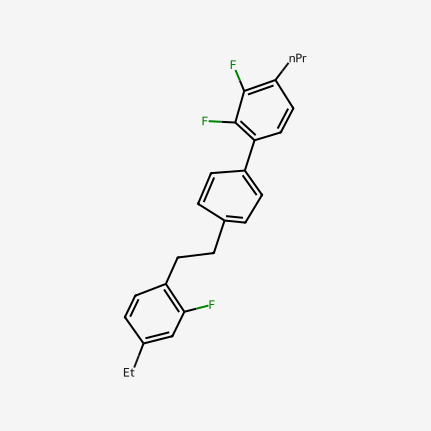 CCCc1ccc(-c2ccc(CCc3ccc(CC)cc3F)cc2)c(F)c1F